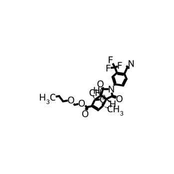 CCCOCOC(=O)C1=C[C@@]2(C)O[C@]1(C)[C@@H]1C(=O)N(c3ccc(C#N)c(C(F)(F)F)c3)C(=O)[C@@H]12